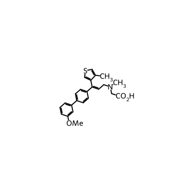 COc1cccc(-c2ccc(C(=CCN(C)CC(=O)O)c3cscc3C)cc2)c1